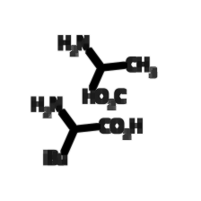 CC(N)C(=O)O.CCC(C)C(N)C(=O)O